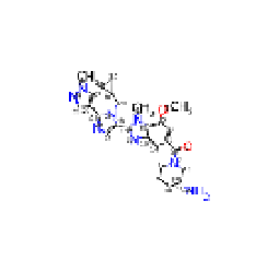 COc1cc(C(=O)N2CCC[C@@H](N)C2)cc2nc(-c3cnc(-c4cnn(C)c4)n3CC3CC3)n(C)c12